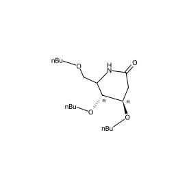 CCCCOCC1NC(=O)C[C@@H](OCCCC)[C@@H]1OCCCC